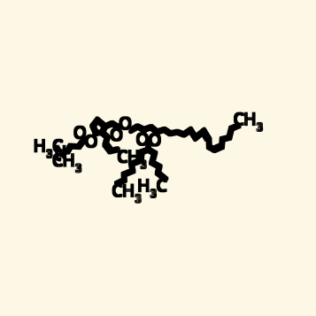 CC/C=C\CC1C(CC(=O)OCCC(CCCCCCCC/C=C\C/C=C\CCCCC)OC(=O)C(CCCCCC)CCCCCCCC)CCC1OC(=O)CCCN(C)C